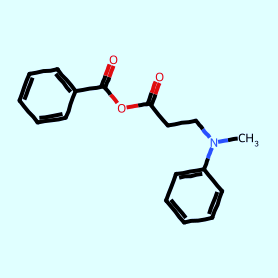 CN(CCC(=O)OC(=O)c1ccccc1)c1ccccc1